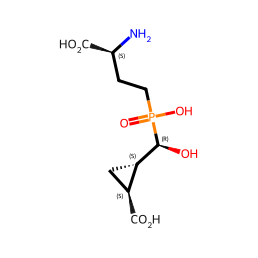 N[C@@H](CCP(=O)(O)[C@@H](O)[C@H]1C[C@@H]1C(=O)O)C(=O)O